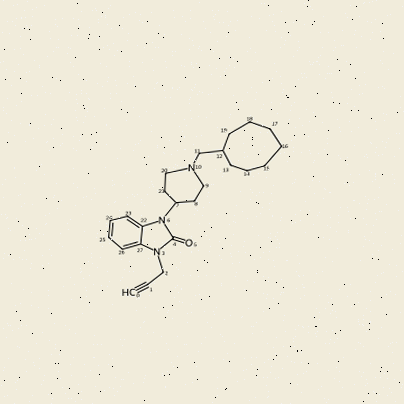 C#CCn1c(=O)n(C2CCN(CC3CCCCCCC3)CC2)c2ccccc21